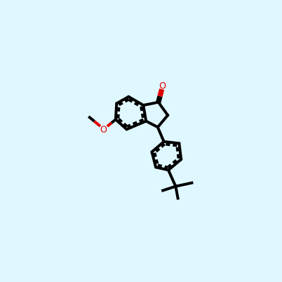 COc1ccc2c(c1)C(c1ccc(C(C)(C)C)cc1)CC2=O